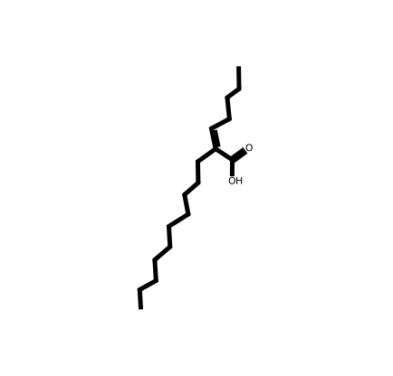 CCCCC=C(CCCCCCCCCC)C(=O)O